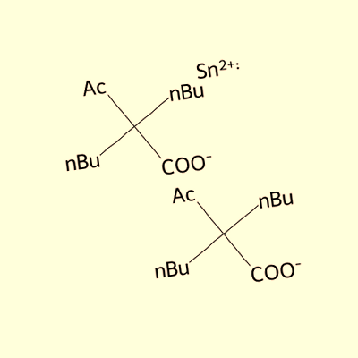 CCCCC(CCCC)(C(C)=O)C(=O)[O-].CCCCC(CCCC)(C(C)=O)C(=O)[O-].[Sn+2]